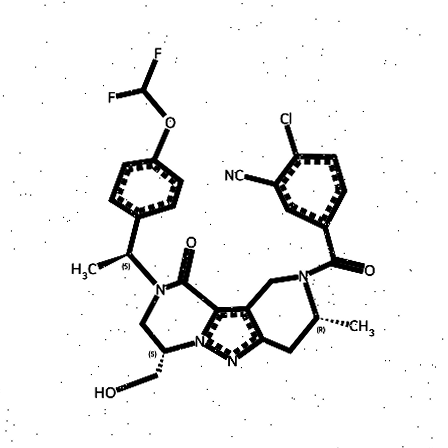 C[C@@H]1Cc2nn3c(c2CN1C(=O)c1ccc(Cl)c(C#N)c1)C(=O)N([C@@H](C)c1ccc(OC(F)F)cc1)C[C@H]3CO